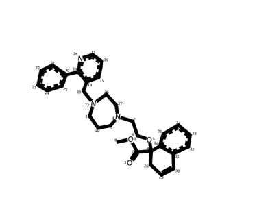 COC(=O)C1(OCCN2CCCN(Cc3cccnc3-c3ccccc3)CC2)CC=Cc2ccccc21